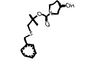 CC(C)(CSCc1ccccc1)OC(=O)N1CCC(O)C1